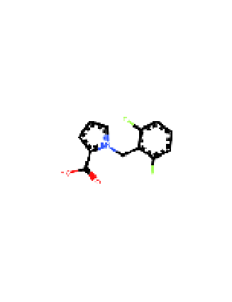 O=C(O)c1cccn1Cc1c(F)cccc1F